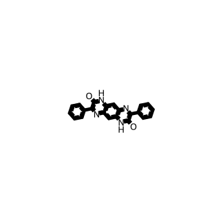 O=c1[nH]c2cc3nc(-c4ccccc4)c(=O)[nH]c3cc2nc1-c1ccccc1